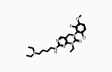 CCN(CC)CCCCNc1ncc2c(n1)N(CC)C(=O)N(c1c(Cl)ccc(OC)c1F)C2